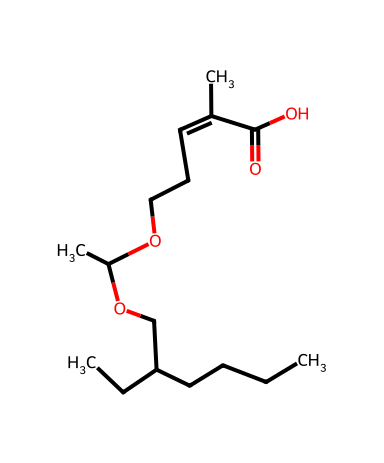 CCCCC(CC)COC(C)OCCC=C(C)C(=O)O